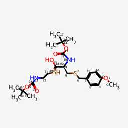 COc1ccc(CSC[C@H](NC(=O)OC(C)(C)C)C(O)=[SH]CCNC(=O)OC(C)(C)C)cc1